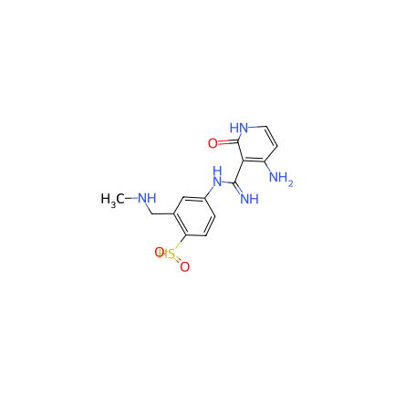 CNCc1cc(NC(=N)c2c(N)cc[nH]c2=O)ccc1[SH](=O)=O